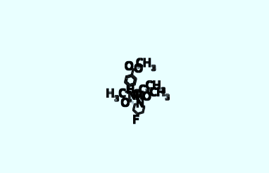 COC(=O)c1ccc([C@H](C)NC(=O)[C@H]2CC(F)CCN2C(=O)OC(C)(C)C)cc1